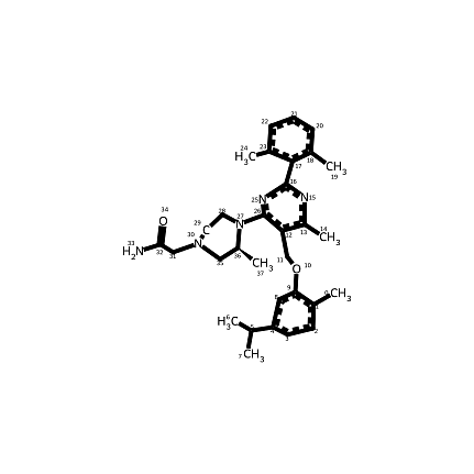 Cc1ccc(C(C)C)cc1OCc1c(C)nc(-c2c(C)cccc2C)nc1N1CCN(CC(N)=O)C[C@@H]1C